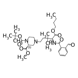 CCCCOC(=O)[C@@H](NC(=O)c1ccccc1C=O)C(C)(C)CCN1CCN(C(=O)OC(C)(C)C)[C@H](C(=O)OC)C1